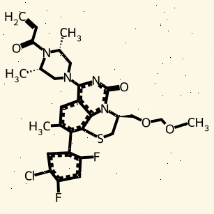 C=CC(=O)N1[C@H](C)CN(c2nc(=O)n3c4c(c(-c5cc(Cl)c(F)cc5F)c(C)cc24)SC[C@@H]3COCOC)C[C@@H]1C